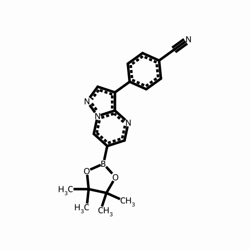 CC1(C)OB(c2cnc3c(-c4ccc(C#N)cc4)cnn3c2)OC1(C)C